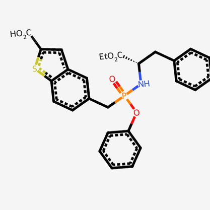 CCOC(=O)[C@H](Cc1ccccc1)NP(=O)(Cc1ccc2sc(C(=O)O)cc2c1)Oc1ccccc1